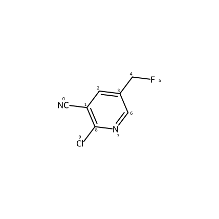 N#Cc1cc(CF)cnc1Cl